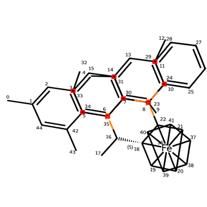 Cc1cc(C)c(P(c2c(C)cc(C)cc2C)C(C)[C@]23[CH]4[CH]5[CH]6[C]2(P(c2ccccc2)c2ccccc2)[Fe]56432789[CH]3[CH]2[CH]7[CH]8[CH]39)c(C)c1